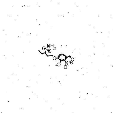 CCC(CCOc1ccc(C=O)c([N+](=O)[O-])c1OC)S(N)(=O)=O